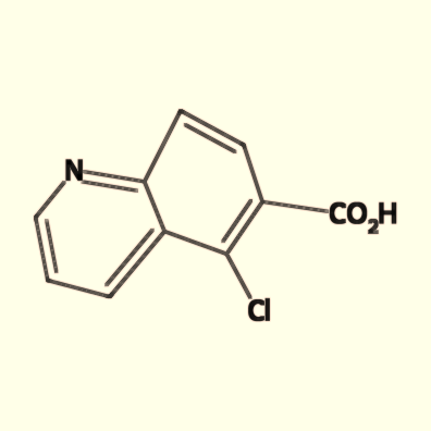 O=C(O)c1ccc2ncccc2c1Cl